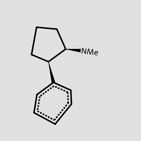 CN[C@@H]1CCC[C@@H]1c1ccccc1